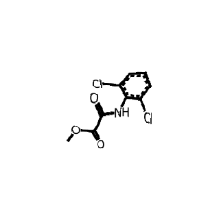 COC(=O)C(=O)Nc1c(Cl)cccc1Cl